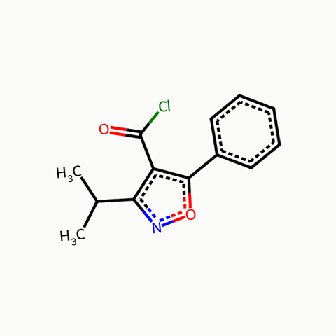 CC(C)c1noc(-c2ccccc2)c1C(=O)Cl